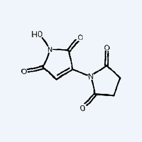 O=C1C=C(N2C(=O)CCC2=O)C(=O)N1O